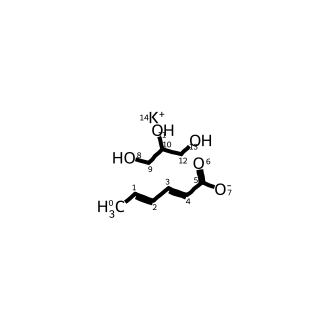 C/C=C/C=C/C(=O)[O-].OCC(O)CO.[K+]